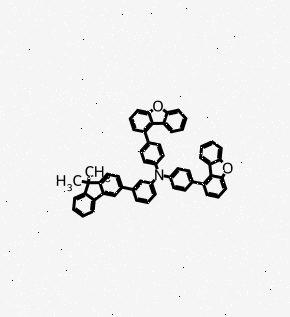 CC1(C)c2ccccc2-c2cc(-c3cccc(N(c4ccc(-c5cccc6oc7ccccc7c56)cc4)c4ccc(-c5cccc6oc7ccccc7c56)cc4)c3)ccc21